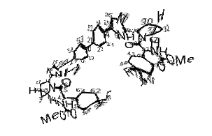 COC(=O)N[C@H](C(=O)N1[C@@H]2C[C@@H]2C[C@H]1c1ncc(-c2ccc(-c3ccc(-c4cnc([C@@H]5C[C@H]6C[C@H]6N5C(=O)[C@@H](NC(=O)OC)C5CCC(F)(F)CC5)[nH]4)cc3)cc2)[nH]1)C1CCC(F)(F)CC1